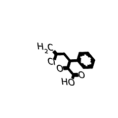 C=C(Cl)CC(C(=O)C(=O)O)c1ccccc1